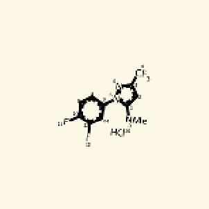 CNc1cc(C(F)(F)F)nn1-c1ccc(F)c(F)c1.Cl